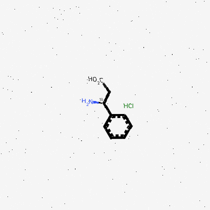 Cl.N[C@@H](CC(=O)O)c1ccccc1